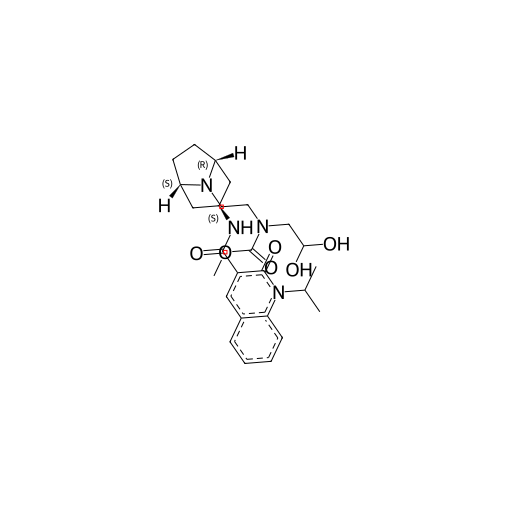 COC(=O)N(CCN1[C@@H]2CC[C@H]1C[C@H](NC(=O)c1cc3ccccc3n(C(C)C)c1=O)C2)CC(O)O